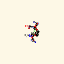 CCNCc1cc(Cl)c(OCc2cccc(-c3cccc(COc4cc(OCc5cncc(C#N)c5)c(CNCCCC(=O)O)cc4Cl)c3C)c2C)cc1OCc1cncc(C#N)c1